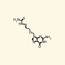 NC(=S)N/N=C/COCn1cnc2c(=O)[nH]c(N)nc21